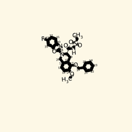 CCS(=O)(=O)NC(=O)[C@@H]1Cc2c(ccc(OC)c2OCc2ccccc2)CN1c1nc2ccc(F)cc2o1